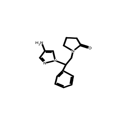 Nc1cnn(C(CN2CCCC2=O)c2ccccc2)c1